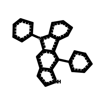 c1ccc(-c2c3[nH]ccc3cc3c2c2ccccc2n3-c2ccccc2)cc1